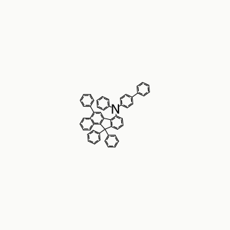 c1ccc(-c2ccc(N(c3ccccc3)c3cccc4c3-c3cc(-c5ccccc5)c5ccccc5c3C4(c3ccccc3)c3ccccc3)cc2)cc1